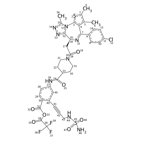 Cc1sc2c(c1C)C(c1ccc(Cl)cc1)=N[C@@H](CC(=O)N1CCC(C(=O)Nc3ccc(C(=O)OC(=O)C(F)(F)F)c(C#CCNS(N)(=O)=O)c3)CC1)c1nnc(C)n1-2